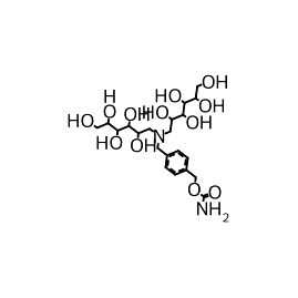 NC(=O)OCc1ccc(CN(CC(O)C(O)C(O)C(O)CO)CC(O)C(O)C(O)C(O)CO)cc1